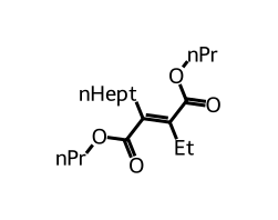 CCCCCCCC(C(=O)OCCC)=C(CC)C(=O)OCCC